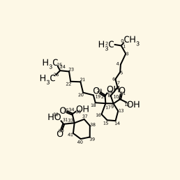 CC(C)CCCCCCC1(C(=O)O)CCCCC1(CCCCCCC(C)C)C(=O)O.O=C(O)C1(C(=O)O)CCCCC1